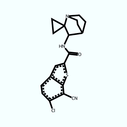 N#Cc1c(Cl)ccc2cc(C(=O)NC3C4CCN(CC4)C34CC4)sc12